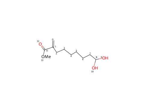 C=C(CCCCCCC(O)O)C(=O)OC